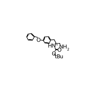 CC(C)(C)OC(=O)N[C@H](CN)Cc1ccc(OCc2ccccc2)cc1